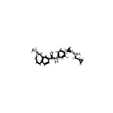 CC(=O)N1CCCc2ccc(C(=O)Nc3ccc([C@@H]4C[C@H]4NCC4CC4)cc3)cc2C1